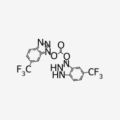 O=C(ON1NNc2ccc(C(F)(F)F)cc21)On1nnc2ccc(C(F)(F)F)cc21